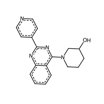 OC1CCCN(c2nc(-c3ccncc3)nc3ccccc23)C1